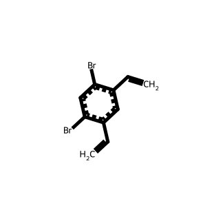 C=Cc1cc(C=C)c(Br)cc1Br